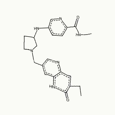 CCc1cc2ncc(CN3CCC(Nc4ccc(C(=O)NC)nc4)C3)cc2[nH]c1=O